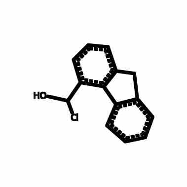 OC(Cl)c1cccc2c1-c1ccccc1C2